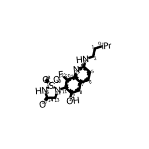 CC(C)CCNc1ccc2cc(O)c(N3CC(=O)NS3(=O)=O)c(F)c2n1